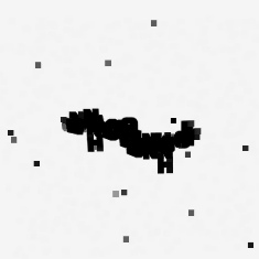 C[C@H]1CC[C@@H](c2ncc(-c3ccc4c(c3)COc3cc5c(ccc6nc(C7C[C@H](COC(F)F)CN7)[nH]c65)cc3-4)[nH]2)N1